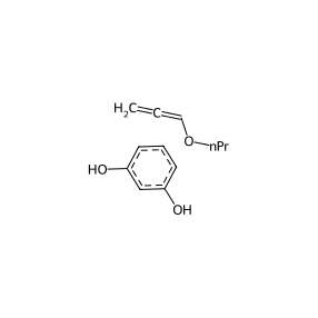 C=C=COCCC.Oc1cccc(O)c1